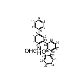 O=CNc1ccc(-c2ccccc2)cc1-c1cccc2c1oc1ccccc12